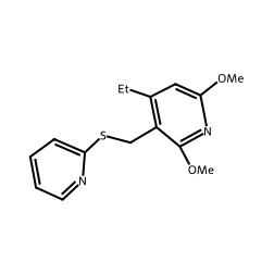 CCc1cc(OC)nc(OC)c1CSc1ccccn1